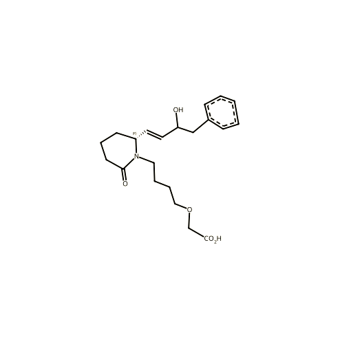 O=C(O)COCCCCN1C(=O)CCC[C@@H]1C=CC(O)Cc1ccccc1